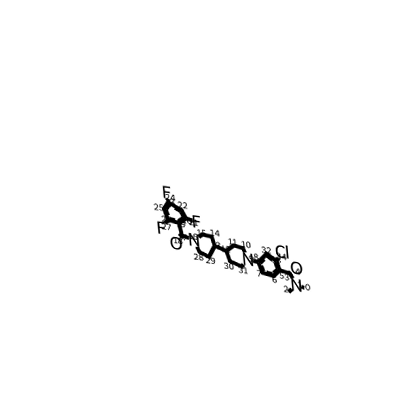 CN(C)C(=O)c1ccc(N2CCC(C3CCN(C(=O)c4c(F)cc(F)cc4F)CC3)CC2)cc1Cl